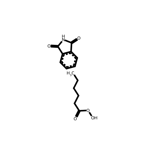 CCCCCC(=O)OO.O=C1NC(=O)c2ccccc21